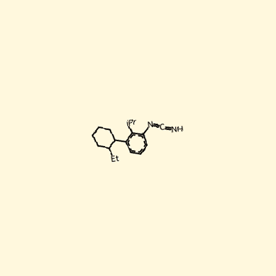 CCC1CCCCC1c1cccc(N=C=N)c1C(C)C